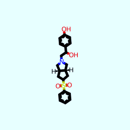 O=S(=O)(c1ccccc1)C1C[C@@H]2CN(CC(O)c3ccc(O)cc3)C[C@@H]2C1